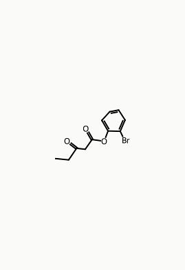 CCC(=O)CC(=O)Oc1ccccc1Br